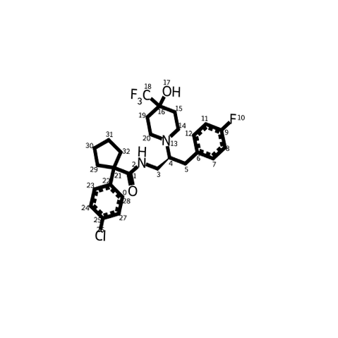 O=C(NC[C@H](Cc1ccc(F)cc1)N1CCC(O)(C(F)(F)F)CC1)C1(c2ccc(Cl)cc2)CCCC1